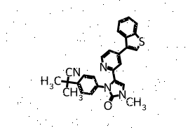 Cn1cc(-c2cc(-c3csc4ccccc34)ccn2)n(-c2ccc(C(C)(C)C#N)cc2)c1=O